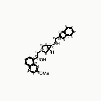 COc1cnc2cccc([C@@H](O)CN3CC4[C@@H](C3)[C@@H]4NCc3cc4ccccc4o3)c2n1